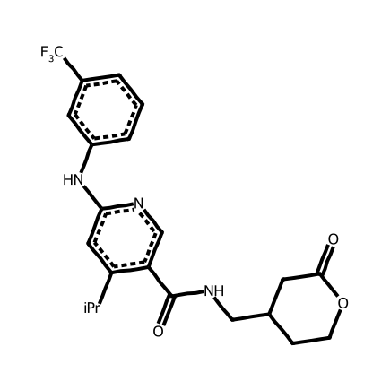 CC(C)c1cc(Nc2cccc(C(F)(F)F)c2)ncc1C(=O)NCC1CCOC(=O)C1